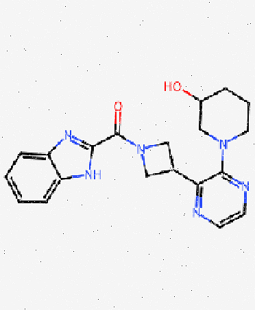 O=C(c1nc2ccccc2[nH]1)N1CC(c2nccnc2N2CCCC(O)C2)C1